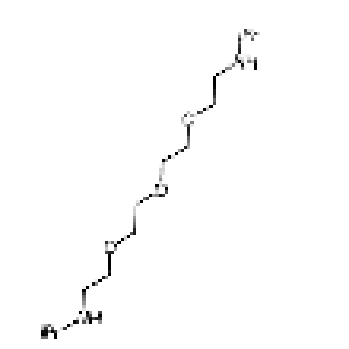 CC(C)NCCOCCOCCOCCNC(C)C